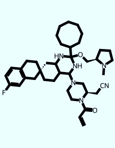 C=CC(=O)N1CCN(C2NC(OC[C@H]3CCCN3C)(C3CCCCCCC3)NC3C[C@]4(CCc5ccc(F)cc5C4)CCC32)C[C@H]1CC#N